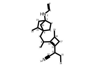 C=CNC12CCC(CC(C)C3=C(C(C#N)CC)CC3C)(C1)C(C)C2